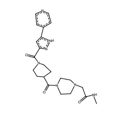 CNC(=O)CN1CCN(C(=O)C2CCN(C(=O)c3cc(-c4ccncc4)[nH]n3)CC2)CC1